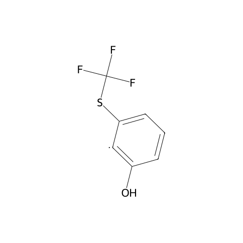 Oc1[c]c(SC(F)(F)F)ccc1